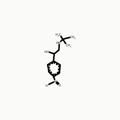 CC(C)(C)NCC(O)c1ccc([N+](=O)[O-])cc1